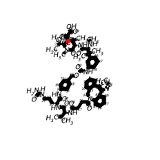 C/N=N\C1=C(/C)c2ccccc2CN(C(=O)CCC(=O)N[C@H](C(=O)N[C@@H](CCCNC(N)=O)C(=O)Nc2ccc(COC(=O)Nc3cccc(C(C)(C)[C@H](NC)C(=O)N[C@H](C(=O)N(C)[C@H](/C=C(\C)C(=O)O)C(C)C)C(C)(C)C)c3)cc2)C(C)C)c2ccccc21